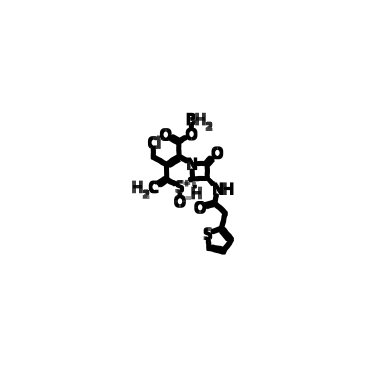 BOC(=O)C1=C(CCl)C(=C)[S@+]([O-])[C@@H]2[C@H](NC(=O)Cc3cccs3)C(=O)N12